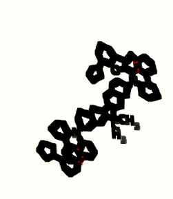 CC1(C)c2cc3cc(N(c4ccccc4-c4ccccc4)c4cccc5c4oc4c(C6CCCC6)cccc45)ccc3cc2-c2cc3ccc(N(c4ccccc4-c4ccccc4)c4cccc5c4oc4c(C6CCCC6)cccc45)cc3cc21